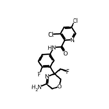 NC1=NC(CF)(c2cc(NC(=O)c3ncc(Cl)cc3Cl)ccc2F)COC1